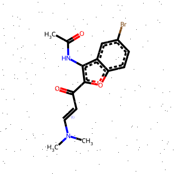 CC(=O)Nc1c(C(=O)/C=C/N(C)C)oc2ccc(Br)cc12